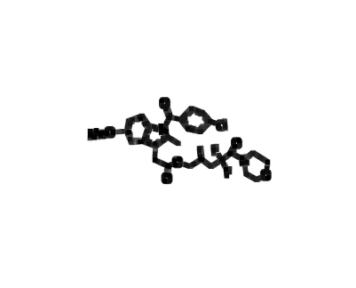 C=C(COC(=O)Cc1c(C)n(C(=O)c2ccc(Cl)cc2)c2ccc(OC)cc12)CC(F)(F)C(=O)N1CCOCC1